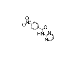 O=C(Nc1ncccn1)c1ccc([N+](=O)[O-])cc1